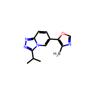 Bc1ncoc1-c1ccc2nnc(C(C)C)n2c1